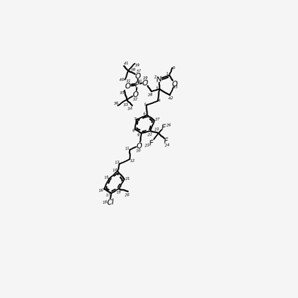 CC1=NC(CCc2ccc(OCCCc3ccc(Cl)c(C)c3)c(C(F)(F)F)c2)(COP(=O)(OC(C)(C)C)OC(C)(C)C)CO1